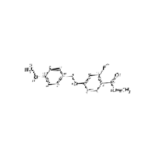 COC(=O)c1ccc(OCc2ccc(OC)cc2)cc1F